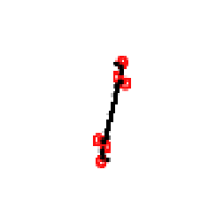 O=C(CCCCCCCCCCCCC(=O)OCC1CO1)OCC1CO1